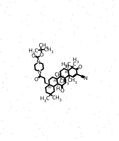 CC1(C)CC[C@]2(CCC(=O)N3CCN(C(=O)OC(C)(C)C)CC3)CC[C@]3(C)[C@@H](C(=O)C=C4[C@@]5(C)C=C(C#N)C(=O)C(C)(C)[C@@H]5CC[C@]43C)C2C1